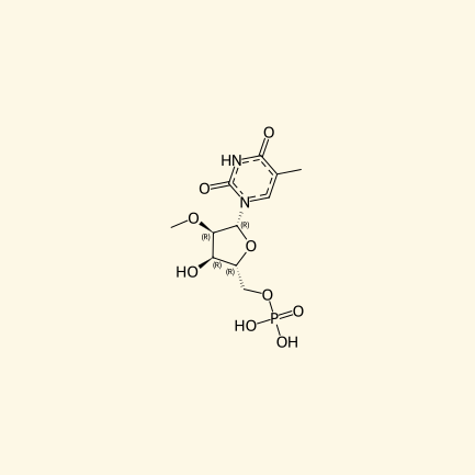 CO[C@@H]1[C@H](O)[C@@H](COP(=O)(O)O)O[C@H]1n1cc(C)c(=O)[nH]c1=O